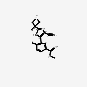 COC(=O)c1ccc(C)c(-c2[nH]c(C3(C)COC3)nc2C#N)c1